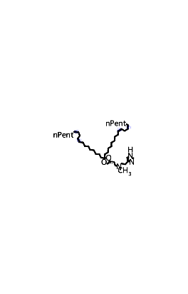 CCCCC/C=C\C/C=C\CCCCCCCCC1(CCCCCCCC/C=C\C/C=C\CCCCC)OC[C@H](CCN(C)CCc2c[nH]cn2)O1